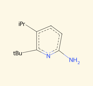 CC(C)c1ccc(N)nc1C(C)(C)C